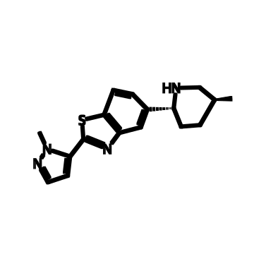 C[C@H]1CC[C@H](c2ccc3sc(-c4ccnn4C)nc3c2)NC1